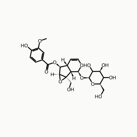 COc1cc(C(=O)O[C@H]2[C@@H]3C=CO[C@@H](O[C@@H]4O[C@H](CO)C(O)[C@H](O)C4O)[C@@H]3[C@@]3(CO)O[C@@H]23)ccc1O